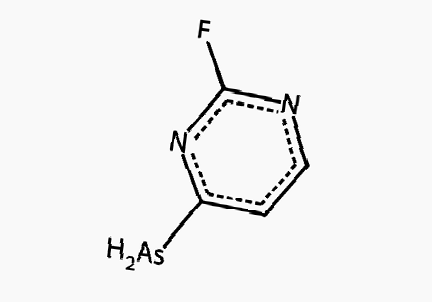 Fc1nccc([AsH2])n1